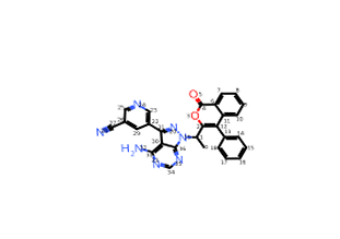 CC(c1oc(=O)c2ccccc2c1-c1ccccc1)n1nc(-c2cncc(C#N)c2)c2c(N)ncnc21